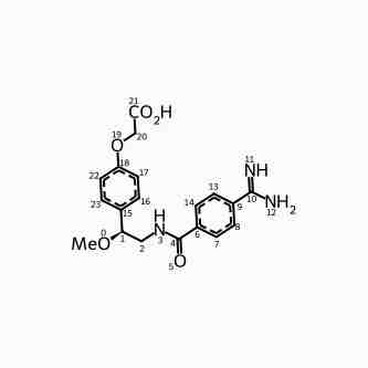 CO[C@H](CNC(=O)c1ccc(C(=N)N)cc1)c1ccc(OCC(=O)O)cc1